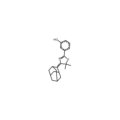 CC1(C)OC(c2cccc(O)c2)=NC1=C1C2CC3CC(C2)CC1C3